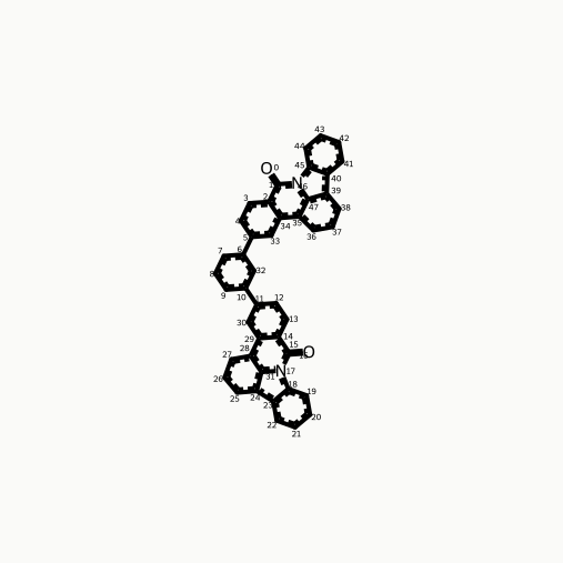 O=c1c2ccc(-c3cccc(-c4ccc5c(=O)n6c7ccccc7c7cccc(c5c4)c76)c3)cc2c2cccc3c4ccccc4n1c23